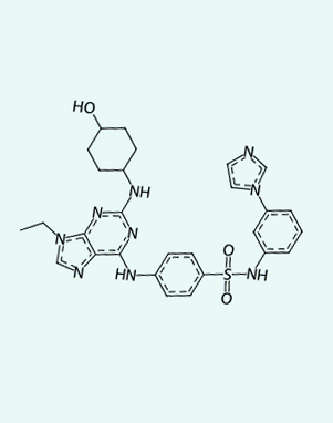 CCn1cnc2c(Nc3ccc(S(=O)(=O)Nc4cccc(-n5ccnc5)c4)cc3)nc(NC3CCC(O)CC3)nc21